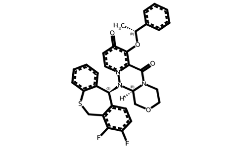 C[C@@H](Oc1c2n(ccc1=O)N([C@@H]1c3ccccc3SCc3c1ccc(F)c3F)[C@@H]1COCCN1C2=O)c1ccccc1